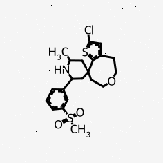 CC1CC2(CCOCCc3cc(Cl)sc32)CC(c2cccc(S(C)(=O)=O)c2)N1